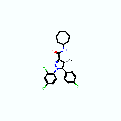 C[C@H]1C(C(=O)NC2CCCCCC2)=NN(c2ccc(Cl)cc2Cl)[C@@H]1c1ccc(Cl)cc1